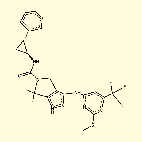 CSc1nc(Nc2n[nH]c3c2CN(C(=O)N[C@H]2C[C@@H]2c2ccccc2)C3(C)C)cc(C(F)(F)F)n1